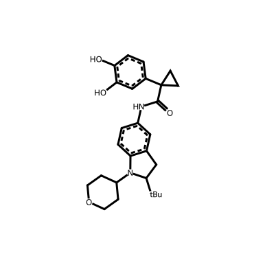 CC(C)(C)C1Cc2cc(NC(=O)C3(c4ccc(O)c(O)c4)CC3)ccc2N1C1CCOCC1